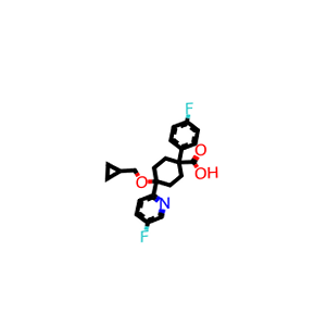 O=C(O)C1(c2ccc(F)cc2)CCC(OCC2CC2)(c2ccc(F)cn2)CC1